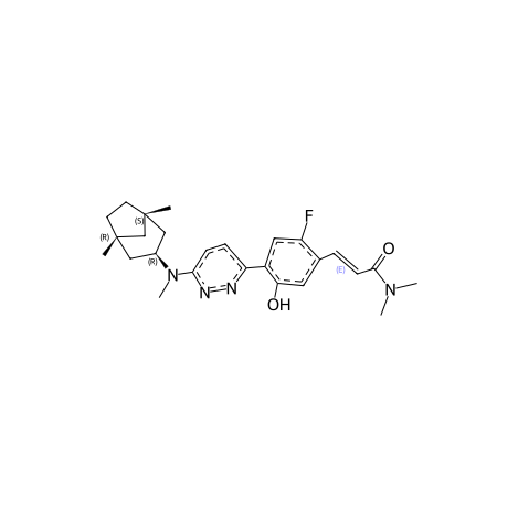 CN(C)C(=O)/C=C/c1cc(O)c(-c2ccc(N(C)[C@H]3C[C@]4(C)CC[C@](C)(C3)C4)nn2)cc1F